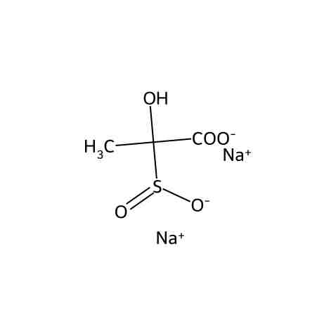 CC(O)(C(=O)[O-])S(=O)[O-].[Na+].[Na+]